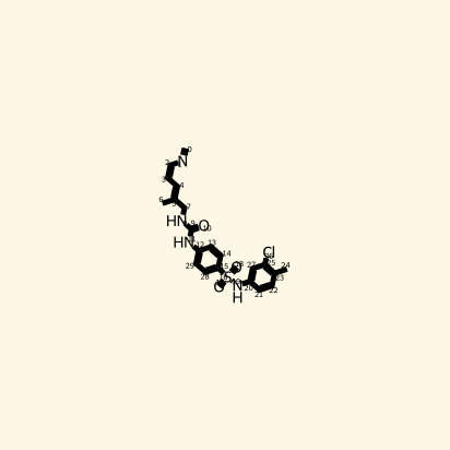 C=N/C=C\C=C(/C)CNC(=O)Nc1ccc(S(=O)(=O)Nc2ccc(C)c(Cl)c2)cc1